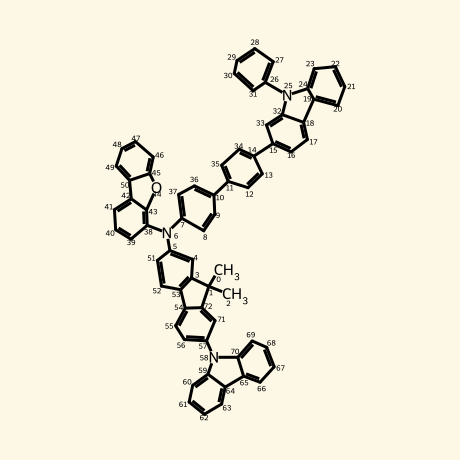 CC1(C)c2cc(N(c3ccc(-c4ccc(-c5ccc6c7ccccc7n(-c7ccccc7)c6c5)cc4)cc3)c3cccc4c3oc3ccccc34)ccc2-c2ccc(-n3c4ccccc4c4ccccc43)cc21